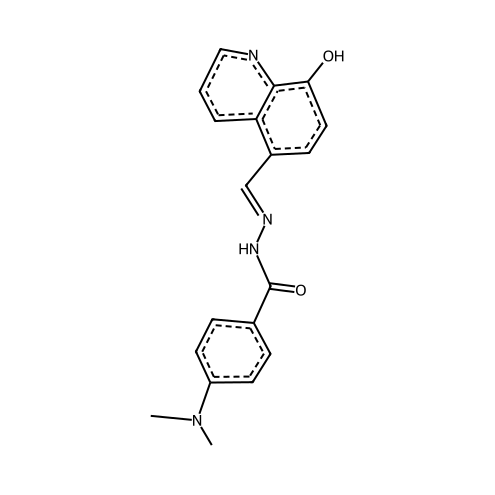 CN(C)c1ccc(C(=O)N/N=C/c2ccc(O)c3ncccc23)cc1